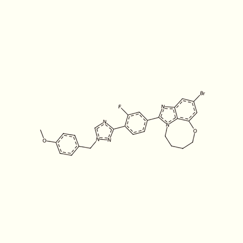 COc1ccc(Cn2cnc(-c3ccc(-c4nc5cc(Br)cc6c5n4CCCCO6)cc3F)n2)cc1